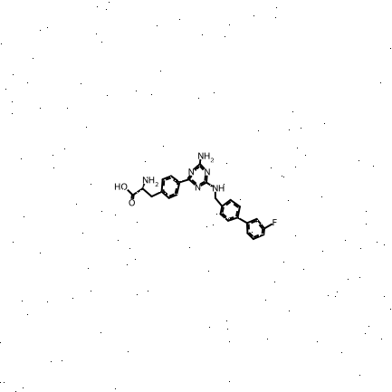 Nc1nc(NCc2ccc(-c3cccc(F)c3)cc2)nc(-c2ccc(C[C@H](N)C(=O)O)cc2)n1